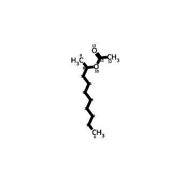 CCCCCCCCC(C)OC(C)=O